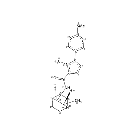 CSc1ccc(-c2ccc(C(=O)N[C@@H]3C4CCN(CC4)[C@H]3C)n2C)cc1